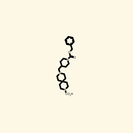 O=C(O)N1CCC2(CCN(CC3CCN(C(=O)OCc4ccccc4)CC3)CC2)CC1